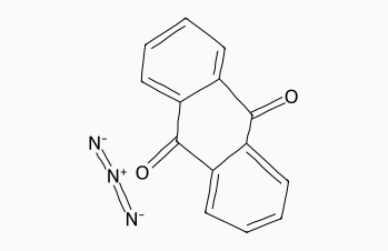 O=C1c2ccccc2C(=O)c2ccccc21.[N-]=[N+]=[N-]